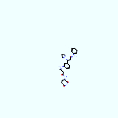 C/C(=C\C(=O)N(C=O)C1CCC(=O)NC1=O)Nc1cccc(C(CC(=O)Nc2cccc(C(F)(F)F)c2)N2CCC2)c1